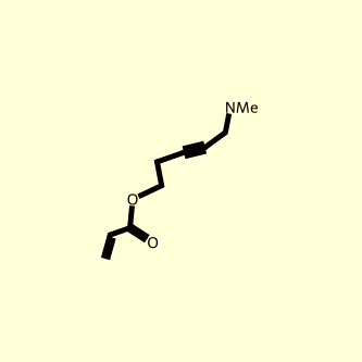 C=CC(=O)OCCC#CCNC